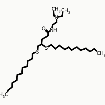 CCCCCCCCCCCCSCC(CCC(=O)NCCN(CC)CC)SCCCCCCCCCCCC